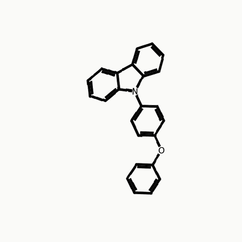 c1ccc(Oc2ccc(-n3c4ccccc4c4ccccc43)cc2)cc1